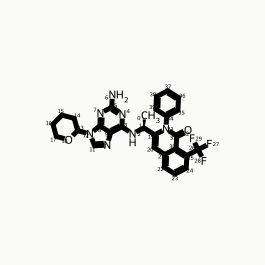 C[C@H](Nc1nc(N)nc2c1ncn2C1CCCCO1)c1cc2cccc(C(F)(F)F)c2c(=O)n1-c1ccccc1